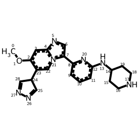 COc1cc2ncc(-c3cccc(NC4CCNCC4)n3)n2cc1C1C=NN=C1